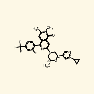 Cc1cc2c(-c3ccc(C(F)(F)F)cc3F)nc(N3C[C@@H](C)O[C@H](c4cnn(C5CC5)c4)C3)cc2c(=O)n1C